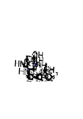 COC(=O)/C(C=N)=C(/Nc1cccc(-c2cccc(OC(C)C3CCCCC3)c2)c1)C1C[C@@H]1/C(N)=C/NCO